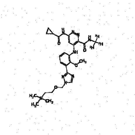 [2H]C([2H])([2H])NC(=O)c1nnc(NC(=O)C2CC2)cc1Nc1cccc(-c2ncn(COCC[Si](C)(C)C)n2)c1OC